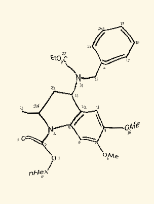 CCCCCCOC(=O)N1c2cc(OC)c(OC)cc2C(N(Cc2ccccc2)C(=O)OCC)CC1C